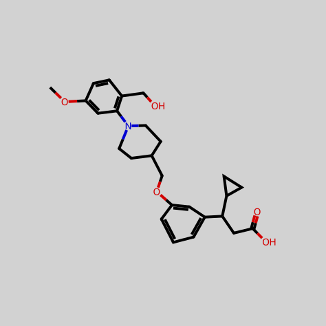 COc1ccc(CO)c(N2CCC(COc3cccc(C(CC(=O)O)C4CC4)c3)CC2)c1